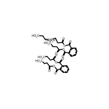 O=C(O)CCC(=O)O.O=C(O)CCC(=O)OC(=O)c1ccccc1C(=O)OC(=O)CCC(=O)O.O=C(O)CCC(=O)OC(=O)c1ccccc1C(=O)OC(=O)CCC(=O)O